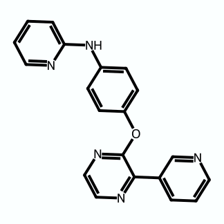 c1ccc(Nc2ccc(Oc3nccnc3-c3cccnc3)cc2)nc1